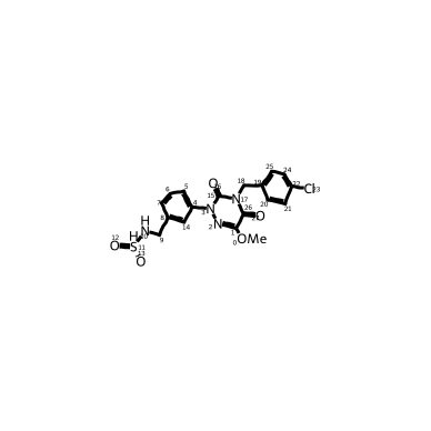 COc1nn(-c2cccc(CN[SH](=O)=O)c2)c(=O)n(Cc2ccc(Cl)cc2)c1=O